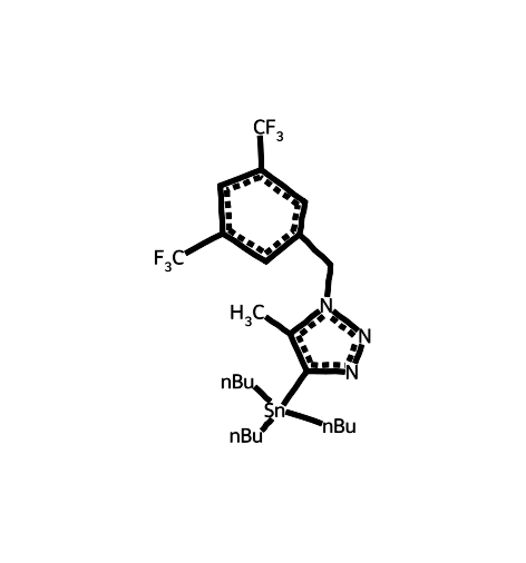 CCC[CH2][Sn]([CH2]CCC)([CH2]CCC)[c]1nnn(Cc2cc(C(F)(F)F)cc(C(F)(F)F)c2)c1C